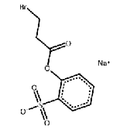 O=C(CCBr)Oc1ccccc1S(=O)(=O)[O-].[Na+]